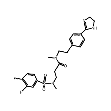 CN(CCc1ccc(C2=NCCN2)cc1)C(=O)CCN(C)S(=O)(=O)c1ccc(F)c(F)c1